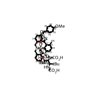 COc1ccc(CN(Cc2ccc(OC)cc2)S(=O)(=O)c2c(S(=O)(=O)NC(C(NC(=O)O)C(NC(=O)O)C(C)(C)C)C(C)(C)C)ccc(I)c2-c2nnn(Cc3ccc(OC)cc3)n2)cc1